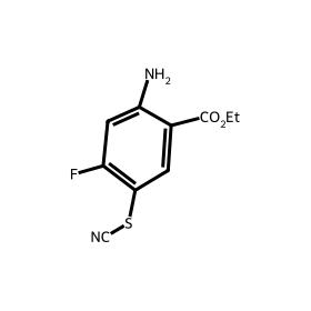 CCOC(=O)c1cc(SC#N)c(F)cc1N